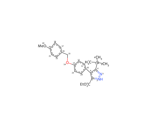 CCOC(=O)c1[nH]nc([Si](C)(C)C)c1-c1ccc(OCc2ccc(OC)cc2)cc1